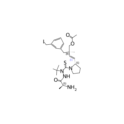 CC(=O)OC[C@@](C)(/C=C/[C@@H]1CCCN1C(=S)N(NC(=O)[C@H](C)N)C(C)(C)C)Cc1cccc(CI)c1